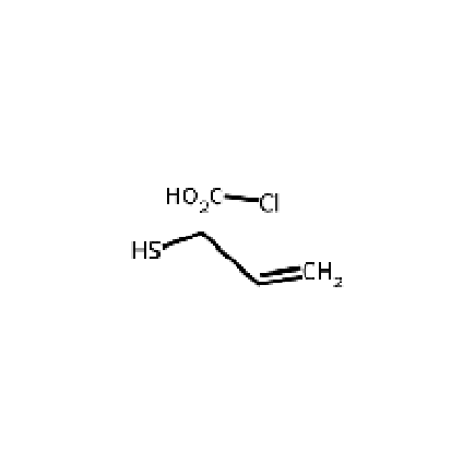 C=CCS.O=C(O)Cl